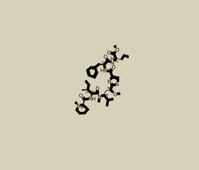 CCC[C@H](NC(=O)[C@H](Cc1ccccc1)NC(=O)c1csc([C@@H](C[C@H](C(C)C)N(C)C(=O)[C@@H](NC(=O)[C@H]2CCCCN2C)[C@@H](C)CC)OC)n1)C(=O)OC